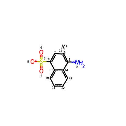 Nc1ccc(S(=O)(=O)[O-])c2ccccc12.[K+]